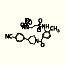 Cc1ccc(C(=O)N2CCC(c3ccc(C#N)cc3)CC2)cc1NS(=O)(=O)CCNS(=O)(=O)C(C)C